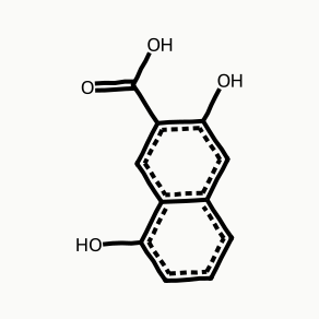 O=C(O)c1cc2c(O)cccc2cc1O